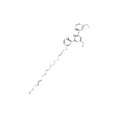 CCCCCCCCCCCCCCCCCCCc1ccnc(-c2cc(CC)cc(-c3cc(CC)ccn3)n2)c1